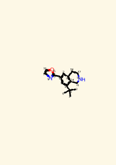 CC(C)(C)c1cc(-c2ncco2)cc2c1CNCC2